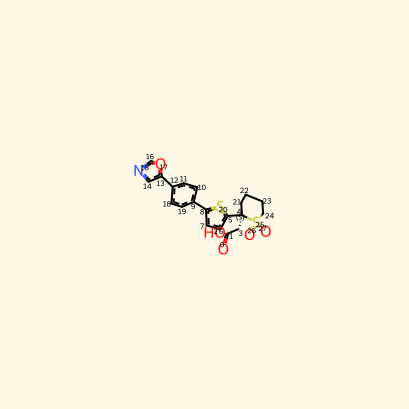 O=C(O)C[C@]1(c2ccc(-c3ccc(-c4cnco4)cc3)s2)CCCCS1(=O)=O